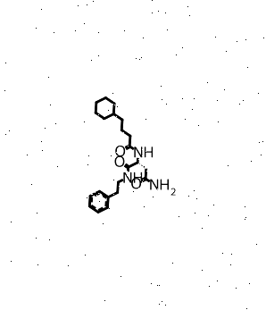 NC(=O)C[C@@H](NC(=O)CCCC1CCCCC1)C(=O)NCCc1ccccc1